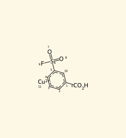 O=C(O)c1cccc(S(=O)(=O)F)c1.[Cu+2]